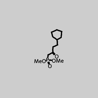 COP(=O)(CC(=O)CCC1CCCCC1)OC